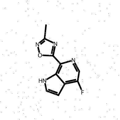 Cc1noc(-c2ncc(F)c3cc[nH]c23)n1